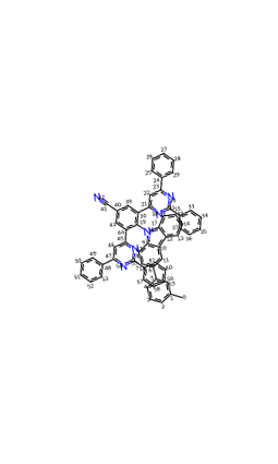 Cc1cccc(-c2ccc3c(c2)c2ccccc2n3-c2c(-c3cc(-c4ccccc4)nc(-c4ccccc4)n3)cc(C#N)cc2-c2cc(-c3ccccc3)nc(-c3ccccc3)n2)c1